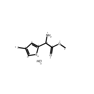 COC(=O)C(N)c1cc(I)cs1.Cl